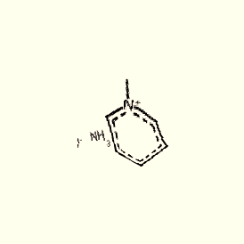 C[n+]1ccccc1.N.[I-]